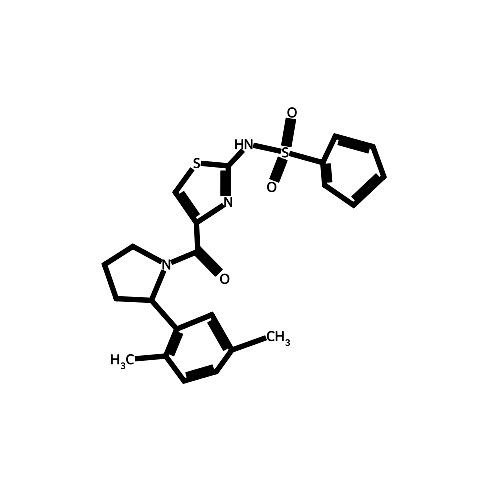 Cc1ccc(C)c(C2CCCN2C(=O)c2csc(NS(=O)(=O)c3ccccc3)n2)c1